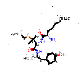 CC(=O)NCCCC[C@H](N)C(=O)N[C@H](C(=O)N[C@@H](Cc1ccc(O)cc1)C(=O)O)C(C)(C)SCNC(C)=O